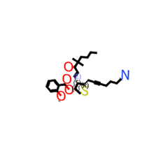 CCCCC(C)(C)C(=O)/C=C/[C@H]1[C@H](OC(=O)c2ccccc2OC)CS[C@@H]1CC#CCCCC#N